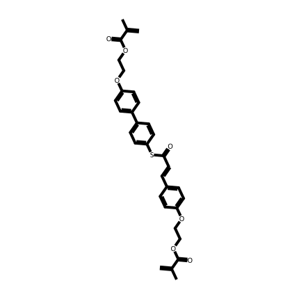 C=C(C)C(=O)OCCOc1ccc(/C=C/C(=O)Sc2ccc(-c3ccc(OCCOC(=O)C(=C)C)cc3)cc2)cc1